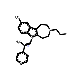 C/C(=C\n1c2c(c3cc(C)ccc31)CCN(CCF)CC2)c1ccncc1